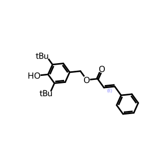 CC(C)(C)c1cc(COC(=O)/C=C/c2ccccc2)cc(C(C)(C)C)c1O